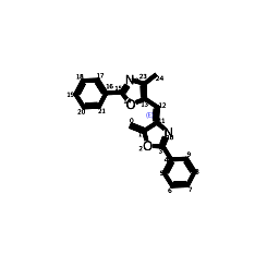 C=c1oc(-c2ccccc2)n/c1=C/c1oc(-c2ccccc2)nc1C